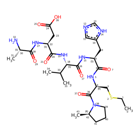 CCSC[C@H](NC(=O)[C@H](Cc1cnc[nH]1)NC(=O)[C@@H](NC(=O)[C@H](CC(=O)O)NC(=O)[C@H](C)N)C(C)C)C(=O)N1CCC[C@H]1C